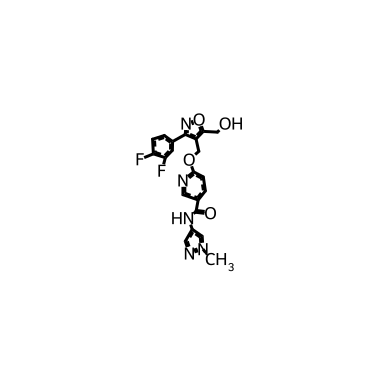 Cn1cc(NC(=O)c2ccc(OCc3c(-c4ccc(F)c(F)c4)noc3CO)nc2)cn1